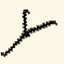 CCCCCCCCCCCCCCCCn1cc[n+](CCCCCCCCCCCCCCCC)c1CCCCCCCCCCCC